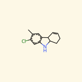 Cc1cc2c(cc1Cl)NC1CCC=CC21